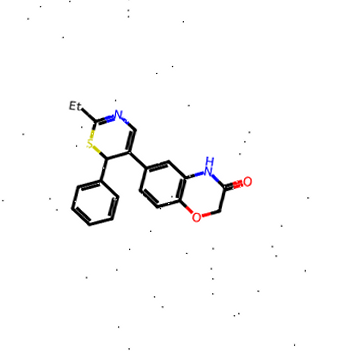 CCC1=NC=C(c2ccc3c(c2)NC(=O)CO3)C(c2ccccc2)S1